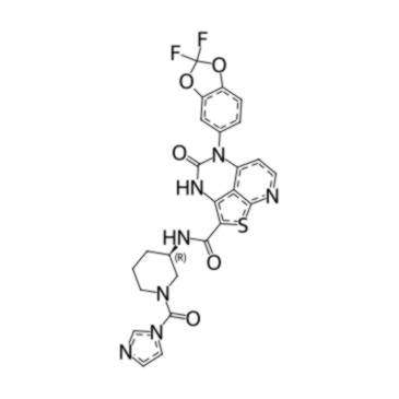 O=C(N[C@@H]1CCCN(C(=O)n2ccnc2)C1)c1sc2nccc3c2c1NC(=O)N3c1ccc2c(c1)OC(F)(F)O2